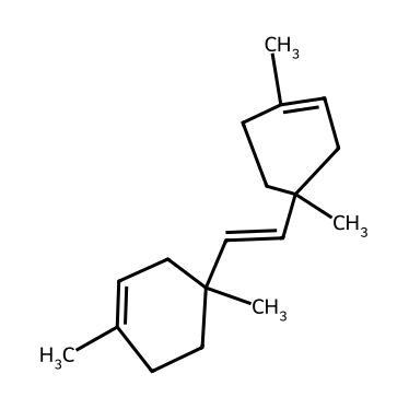 CC1=CCC(C)(C=CC2(C)CC=C(C)CC2)CC1